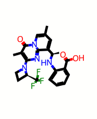 Cc1cc([C@@H](C)Nc2ccccc2C(=O)O)c2nc(N3CC[C@@H]3C(F)(F)F)c(C)c(=O)n2c1